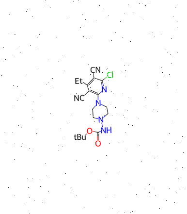 CCc1c(C#N)c(Cl)nc(N2CCN(NC(=O)OC(C)(C)C)CC2)c1C#N